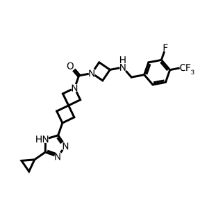 O=C(N1CC(NCc2ccc(C(F)(F)F)c(F)c2)C1)N1CC2(CC(c3nnc(C4CC4)[nH]3)C2)C1